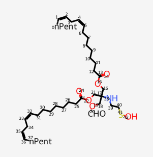 CCCCC/C=C\C/C=C\CCCCCCCC(=O)OCC(COC=O)(COC(=O)CCCCCCC/C=C\C/C=C\CCCCC)NCCSO